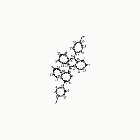 Cc1ccc(-c2ccc(-c3c4ccccc4c(-c4ccc(C)cc4)c4ccccc34)c3ccccc23)cc1